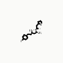 CC(CC(=N)CCc1ccc(F)cc1)NC(=O)Cc1cccs1